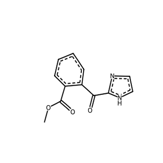 COC(=O)c1ccccc1C(=O)c1ncc[nH]1